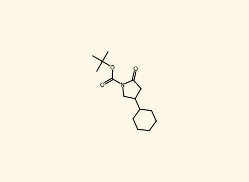 CC(C)(C)OC(=O)N1CC(C2CCCCC2)CC1=O